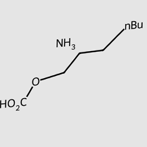 CCCCCCCOC(=O)O.N